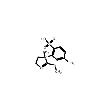 CSC1=NCC[N+]1(N)c1cc(C)ccc1S(=O)(=O)O